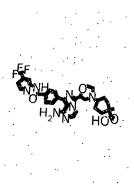 CC1(C(=O)O)CCC(N2CCOC(c3nc(-c4ccc(C(=O)Nc5cc(C(F)(F)F)ccn5)cc4)c4c(N)nccn34)C2)CC1